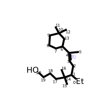 CCC(C/C=C(\C)C1CCCC(C)(C)C1)C(C)(C)CCCO